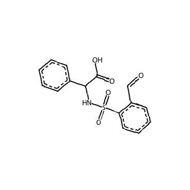 O=Cc1ccccc1S(=O)(=O)NC(C(=O)O)c1ccccc1